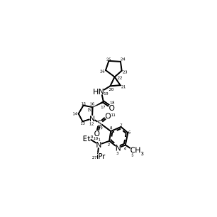 CCN(c1nc(C)ccc1S(=O)(=O)N1CCC[C@H]1C(=O)NC1CC12CCCC2)C(C)C